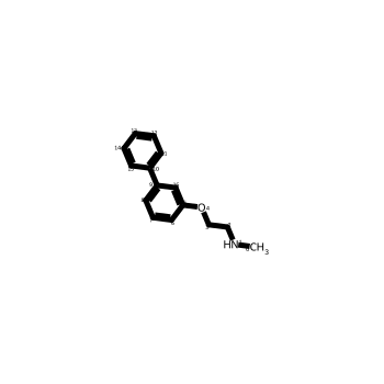 CNCCOc1cccc(-c2ccccc2)c1